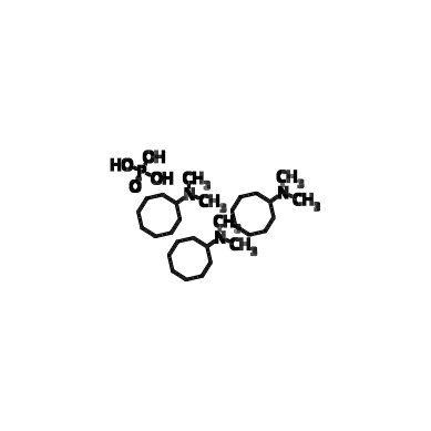 CN(C)C1CCCCCCC1.CN(C)C1CCCCCCC1.CN(C)C1CCCCCCC1.O=P(O)(O)O